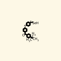 CC(C)(C)c1ccc(C(=O)c2ccc(Sc3ccc([Se][SeH])cc3)cc2)cc1